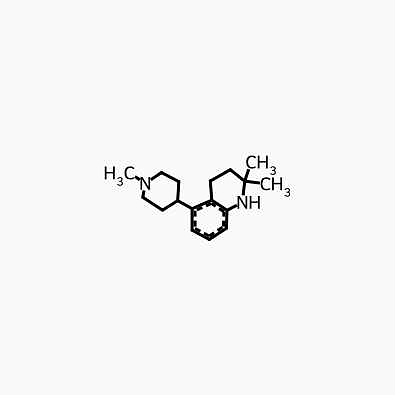 CN1CCC(c2cccc3c2CCC(C)(C)N3)CC1